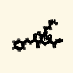 CC(C)(C)NC(=O)CC(NC(=O)CCc1ccccc1)C(=O)NCCN